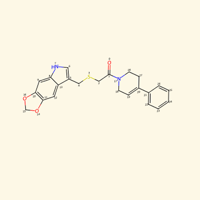 O=C(CSCc1c[nH]c2cc3c(cc12)OCO3)N1CC=C(c2ccccc2)CC1